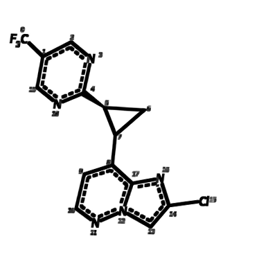 FC(F)(F)c1cnc([C@H]2CC2c2ccnn3cc(Cl)nc23)nc1